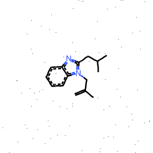 C=C(C)Cn1c(CC(C)C)nc2ccccc21